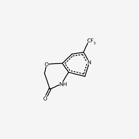 O=C1COc2cc(C(F)(F)F)ncc2N1